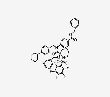 O=C(OCc1ccccc1)c1ccc(N(Cc2ccc(C3CCCCC3)cc2)C(=O)[C@]2(OCc3ccccc3)CCCCN2S(=O)(=O)c2c(F)c(F)c(F)c(F)c2F)cc1